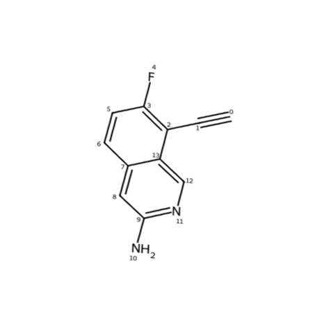 C#Cc1c(F)ccc2cc(N)ncc12